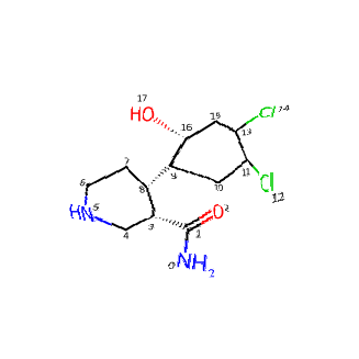 NC(=O)[C@@H]1CNCC[C@@H]1C1CC(Cl)C(Cl)C[C@H]1O